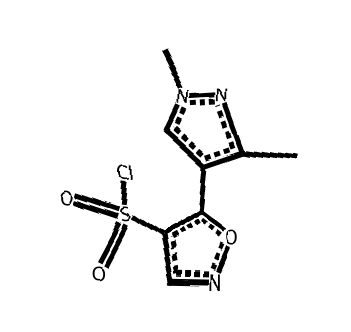 Cc1nn(C)cc1-c1oncc1S(=O)(=O)Cl